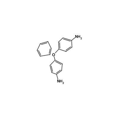 Nc1ccc(Oc2ccc(N)cc2)cc1.c1ccccc1